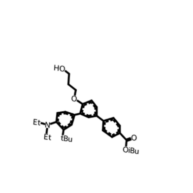 CCN(CC)c1ccc(-c2cc(-c3ccc(C(=O)OCC(C)C)cc3)ccc2OCCCO)cc1C(C)(C)C